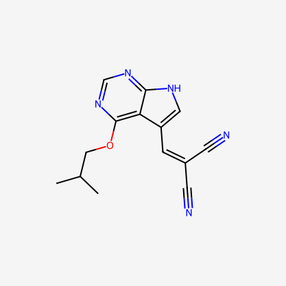 CC(C)COc1ncnc2[nH]cc(C=C(C#N)C#N)c12